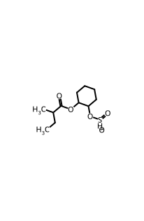 CCC(C)C(=O)OC1CCCCC1O[SH](=O)=O